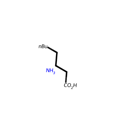 CCCCCCCC(=O)O.N